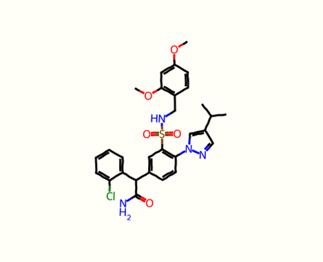 COc1ccc(CNS(=O)(=O)c2cc(C(C(N)=O)c3ccccc3Cl)ccc2-n2cc(C(C)C)cn2)c(OC)c1